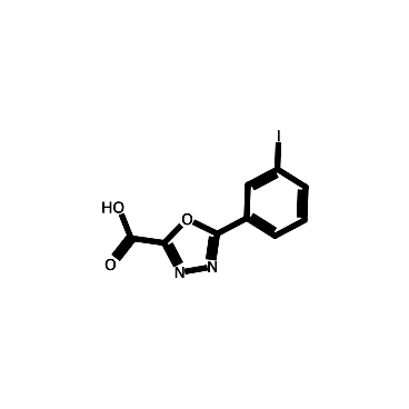 O=C(O)c1nnc(-c2cccc(I)c2)o1